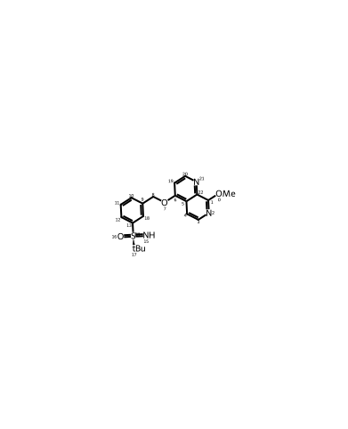 COc1nccc2c(OCc3cccc([S@](=N)(=O)C(C)(C)C)c3)ccnc12